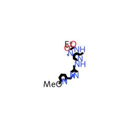 CCOC1C(=O)Nc2c(cc(NCc3cnn(Cc4cccc(OC)n4)c3)nc2C)N1C